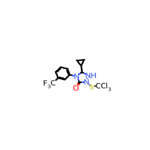 O=C1N(SC(Cl)(Cl)Cl)NC(C2CC2)N1c1cccc(C(F)(F)F)c1